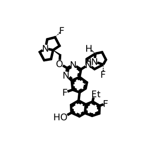 CCc1c(F)ccc2cc(O)cc(-c3ccc4c(N5C[C@H]6CC[C@@](F)(C5)N6)nc(OC[C@@]56CCCN5C[C@H](F)C6)nc4c3F)c12